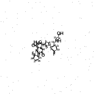 CC(c1ccc(-c2cc(F)ccc2CNCCO)s1)c1cc(=O)n(-c2ccccc2F)nc1C(N)=O